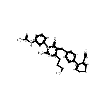 CCCCc1nc(C)n(-c2cccc(NC(C)=O)c2)c(=O)c1Cc1ccc(C2=CCCC=C2C#N)cc1